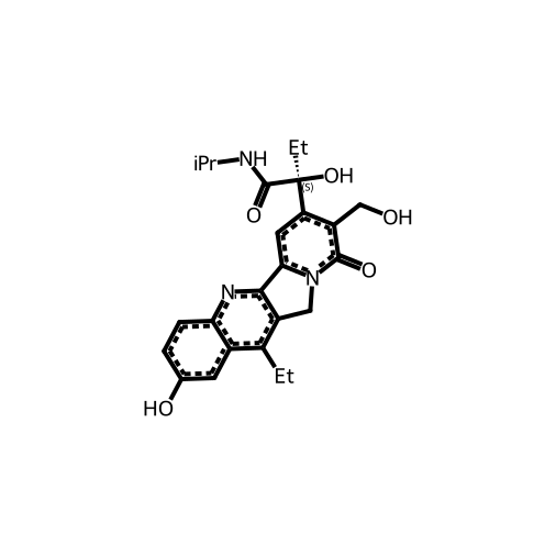 CCc1c2c(nc3ccc(O)cc13)-c1cc([C@@](O)(CC)C(=O)NC(C)C)c(CO)c(=O)n1C2